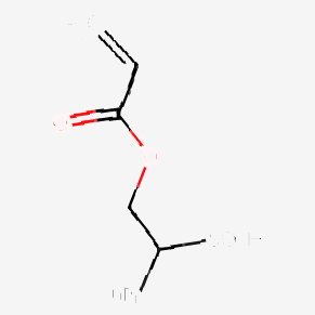 C=CC(=O)OCC(CCC)S(=O)(=O)O